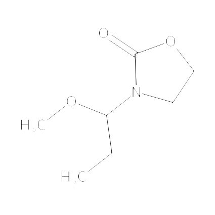 CCC(OC)N1CCOC1=O